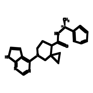 C[C@@H](NC(=O)C1CCN(c2ncnc3[nH]ccc23)CC12CC2)c1ccccc1